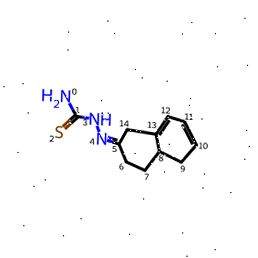 NC(=S)NN=C1CCC2CC=CC=C2C1